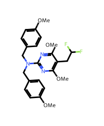 COc1ccc(CN(Cc2ccc(OC)cc2)c2nc(OC)c(CC(F)F)c(OC)n2)cc1